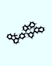 CC1(C)c2ccccc2-c2cccc(-c3ccc(N(c4cccc(-c5ccc6ccccc6c5)c4)c4cccc5c4oc4ccccc45)cc3)c21